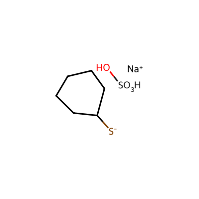 O=S(=O)(O)O.[Na+].[S-]C1CCCCC1